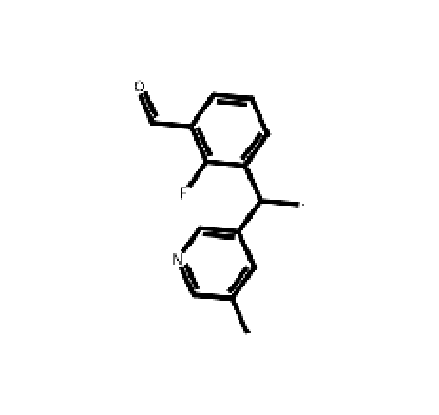 [CH2]C(c1cncc(C)c1)c1cccc(C=O)c1F